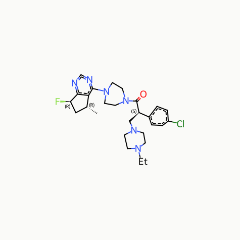 CCN1CCN(C[C@@H](C(=O)N2CCN(c3ncnc4c3[C@H](C)C[C@H]4F)CC2)c2ccc(Cl)cc2)CC1